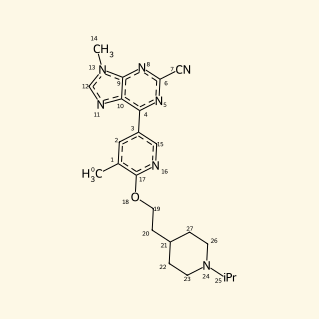 Cc1cc(-c2nc(C#N)nc3c2ncn3C)cnc1OCCC1CCN(C(C)C)CC1